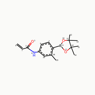 C=CC(=O)Nc1ccc(B2OC(C)(C)C(C)(C)O2)c(C)c1